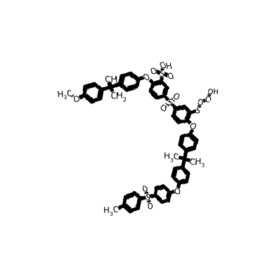 COc1ccc(C(C)(C)c2ccc(Oc3ccc(S(=O)(=O)c4ccc(Oc5ccc(C(C)(C)c6ccc(Oc7ccc(S(=O)(=O)c8ccc(C)cc8)cc7)cc6)cc5)c(SOOO)c4)cc3S(=O)(=O)O)cc2)cc1